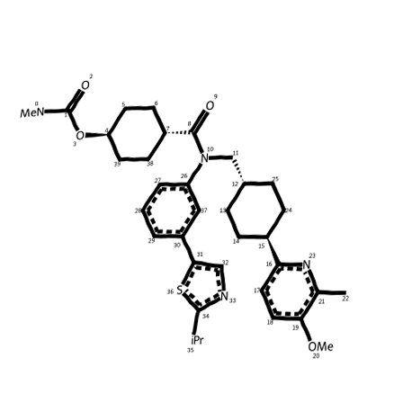 CNC(=O)O[C@H]1CC[C@H](C(=O)N(C[C@H]2CC[C@H](c3ccc(OC)c(C)n3)CC2)c2cccc(-c3cnc(C(C)C)s3)c2)CC1